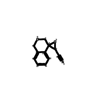 N#CC1OC12COCc1ccccc12